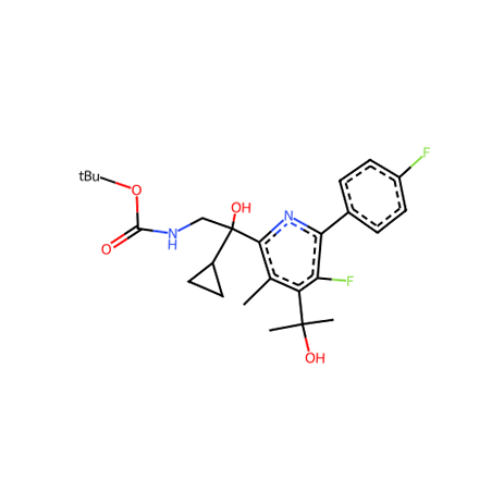 Cc1c(C(O)(CNC(=O)OC(C)(C)C)C2CC2)nc(-c2ccc(F)cc2)c(F)c1C(C)(C)O